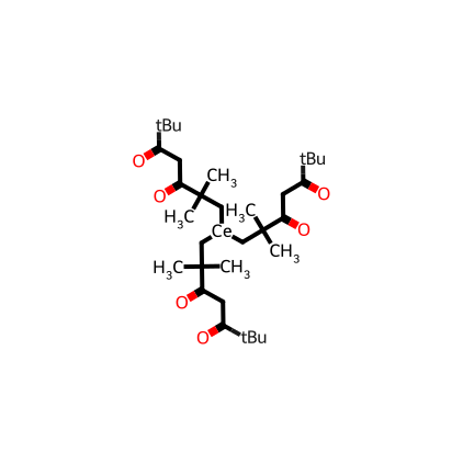 CC(C)(C)C(=O)CC(=O)C(C)(C)[CH2][Ce]([CH2]C(C)(C)C(=O)CC(=O)C(C)(C)C)[CH2]C(C)(C)C(=O)CC(=O)C(C)(C)C